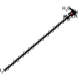 CCCCc1nc2c(N)nnc(OC(C)C)c2n1C[C@H]1CC[C@H](CNC(=O)CCOCCOCCOCCOCCOCCOCCOCCOCCOCCOCCOCCOCCOCCOCCOCCOCCOCCOCCOCCOCCOCCOCCOCCOCCN)CC1